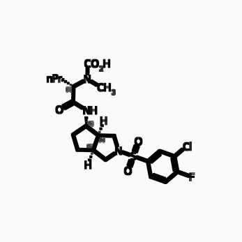 CCC[C@@H](C(=O)N[C@H]1CC[C@@H]2CN(S(=O)(=O)c3ccc(F)c(Cl)c3)C[C@@H]21)N(C)C(=O)O